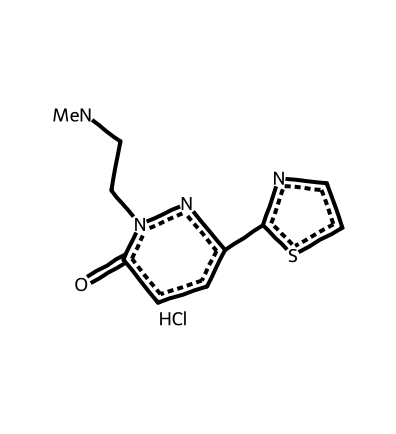 CNCCn1nc(-c2nccs2)ccc1=O.Cl